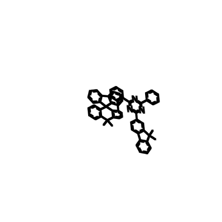 CC1(C)c2ccccc2-c2ccc(-c3nc(-c4ccccc4)nc(-c4ccccc4-c4cccc5c4C4(c6ccccc6-c6ccccc64)c4ccccc4C5(C)C)n3)cc21